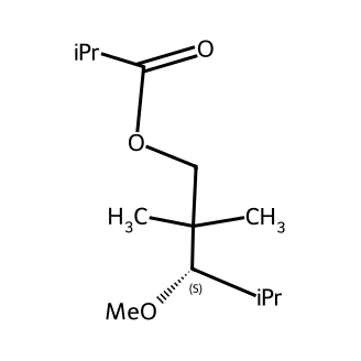 CO[C@@H](C(C)C)C(C)(C)COC(=O)C(C)C